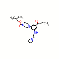 CCCC(=O)c1cc(NCCN2CCCC2)cc(N2CCN(C(=O)OCC(C)C)CC2)c1